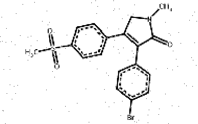 CN1CC(c2ccc(S(C)(=O)=O)cc2)=C(c2ccc(Br)cc2)C1=O